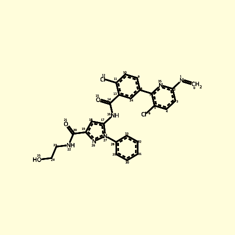 C=Nc1ccc(Cl)c(-c2ccc(Cl)c(C(=O)Nc3cc(C(=O)NCCO)nn3-c3ccccc3)c2)n1